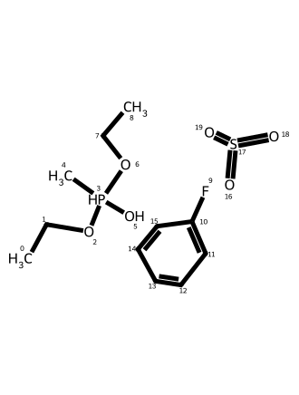 CCO[PH](C)(O)OCC.Fc1ccccc1.O=S(=O)=O